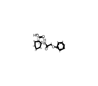 O=C(COc1ccccc1)N[C@@H]1CCCC[C@@H]1C(=O)O